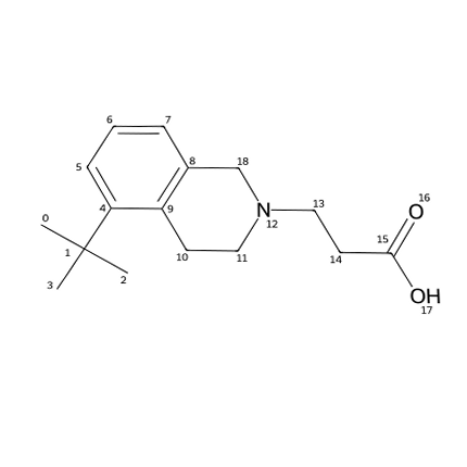 CC(C)(C)c1cccc2c1CCN(CCC(=O)O)C2